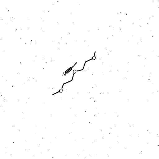 CC#N.COCCOCCOC